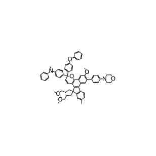 COCCCC1(CCCOC)c2cc(C)ccc2-c2c1c1c(c3cc(OC)c(-c4ccc(N5CCOCC5)cc4)cc23)OC(c2ccc(Oc3ccccc3)cc2)(c2ccc(N(C)c3ccccc3)cc2)C=C1